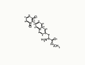 COC(=O)C(N)Cc1ccc2cc(-c3c(Cl)cccc3Cl)ccc2c1